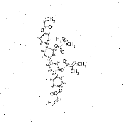 C=CC(=O)Oc1ccc(-c2ccc(-c3ccc(-c4ccc(OC(=O)C=C)cc4)c(OC(=O)C(=C)CC)c3)cc2OC(=O)C(=C)C)cc1